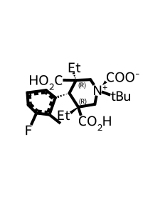 CC[C@]1(C(=O)O)C[N@+](C(=O)[O-])(C(C)(C)C)C[C@](CC)(C(=O)O)[C@@H]1c1cccc(F)c1C